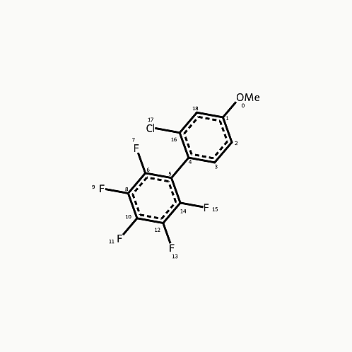 COc1ccc(-c2c(F)c(F)c(F)c(F)c2F)c(Cl)c1